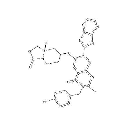 Cc1nc2cc(-c3nc4ncccn4n3)c(O[C@H]3CCN4C(=O)OC[C@@H]4C3)cc2c(=O)n1Cc1ccc(Cl)cc1